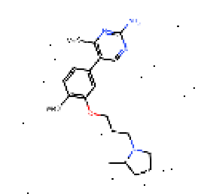 CNc1nc(N)ncc1-c1ccc(OC)c(OCCCN2CCCC2C)c1